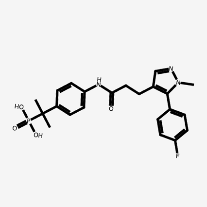 Cn1ncc(CCC(=O)Nc2ccc(C(C)(C)P(=O)(O)O)cc2)c1-c1ccc(F)cc1